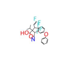 CC(C)C(C(=O)O)(C(C#N)c1cccc(Oc2ccccc2)c1)C(C=C(F)F)C(F)(F)F